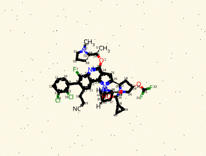 C[C@H](Oc1nc2c(F)c(-c3cccc(Cl)c3Cl)c(CCC#N)cc2c2c1cc([C@H]1C[C@H](OC(F)F)CN1C(O)C1CC1)n2[C@H]1[C@H]2CN[C@@H]1C2)[C@@H]1CCCN1C